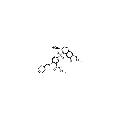 C#C[C@H]1CCc2cc(CC)c(F)cc2N1S(=O)(=O)c1ccc(OCC2CCOCC2)c(C(=O)OC)c1